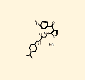 COc1ccc(C(=O)c2ccoc2NCC(=O)NCC2CCN(C(C)C)CC2)cc1.Cl